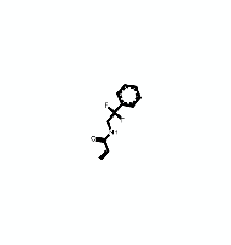 C=CC(=O)NCC(F)(F)c1ccccc1